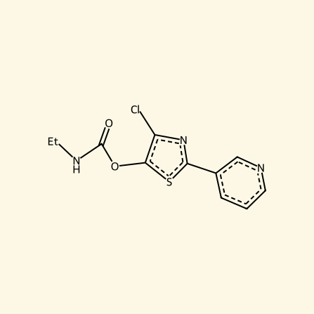 CCNC(=O)Oc1sc(-c2cccnc2)nc1Cl